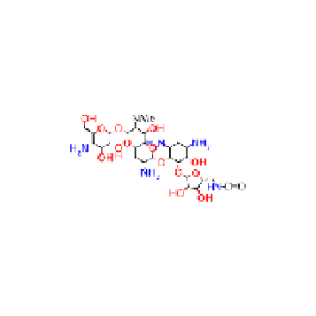 CN[C@@H]1[C@@H](O[C@H]2O[C@H](CO)[C@@H](N)[C@H](O)[C@H]2O)OC2C[C@@H](N)[C@@H](O[C@H]3[C@H](OC4O[C@H](CNC=O)[C@@H](O)[C@H]4O)[C@@H](O)[C@H](N)C[C@@H]3N)OC2[C@@H]1O